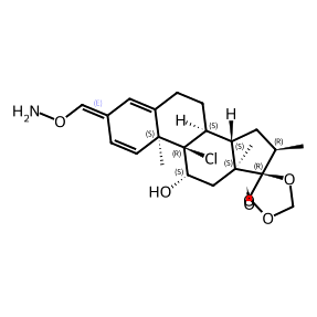 C[C@@H]1C[C@H]2[C@@H]3CCC4=C/C(=C/ON)C=C[C@]4(C)[C@@]3(Cl)[C@@H](O)C[C@]2(C)[C@]12OCOC21COCO1